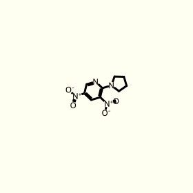 O=[N+]([O-])c1cnc(N2CCCC2)c([N+](=O)[O-])c1